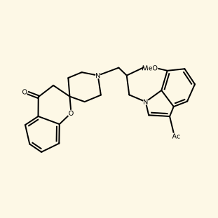 COc1cccc2c(C(C)=O)cn(CC(C)CN3CCC4(CC3)CC(=O)c3ccccc3O4)c12